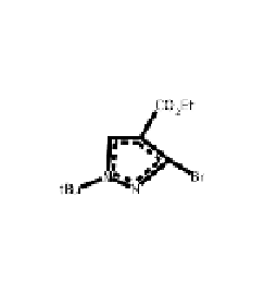 CCOC(=O)c1cn(C(C)(C)C)nc1Br